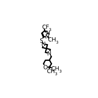 Cn1nc(C(F)(F)F)cc1SN1CC2(CN(CC3CCOC(C)(C)C3)C2)C1